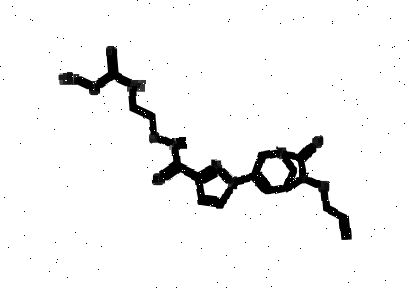 C=CCON1C(=O)N2CC(n3ccc(C(=O)NOCCNC(=O)OC(C)(C)C)n3)=CC1C2